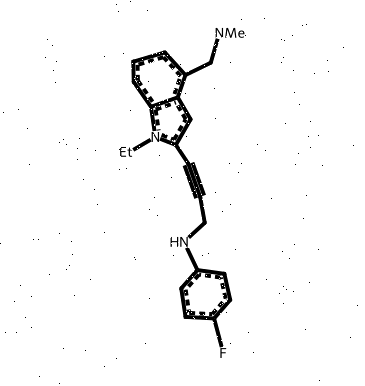 CCn1c(C#CCNc2ccc(F)cc2)cc2c(CNC)cccc21